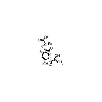 CC1=C[C@@H]2CN(C(=O)N2O[C@@H](F)C(=O)O)[C@@H]1C(=O)N(C)O